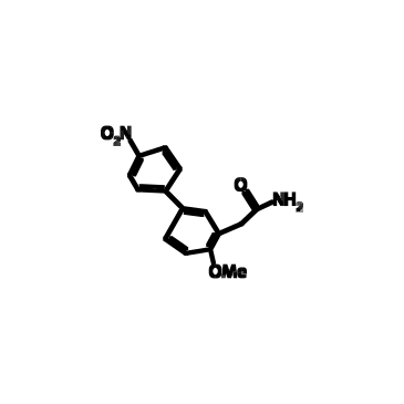 COc1ccc(-c2ccc([N+](=O)[O-])cc2)cc1CC(N)=O